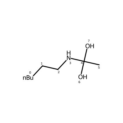 CCCCCCNC(C)(O)O